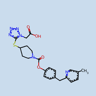 Cc1ccc(Cc2ccc(OC(=O)N3CCC(Sc4nnnn4CC(=O)O)CC3)cc2)nc1